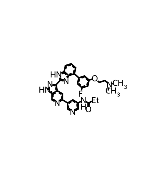 CCC(=O)Nc1cncc(-c2cc3c(-c4nc5c(-c6cc(F)cc(OCCN(C)C)c6)cccc5[nH]4)n[nH]c3cn2)c1